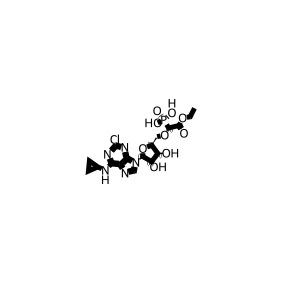 CCOC(=O)[C@H](OC[C@H]1O[C@@H](n2cnc3c(NC4CC4)nc(Cl)nc32)[C@H](O)[C@H]1O)P(=O)(O)O